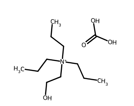 CCC[N+](CCC)(CCC)CCO.O=C(O)O